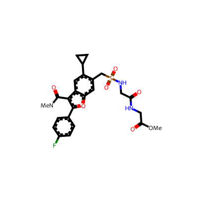 CNC(=O)c1c(-c2ccc(F)cc2)oc2cc(CS(=O)(=O)NCC(=O)NCC(=O)OC)c(C3CC3)cc12